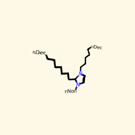 CCCCCCCCCCCCCCCCCC1N(CCCCCCCCC)C=CN1CCCCCCCCCCCCCCC